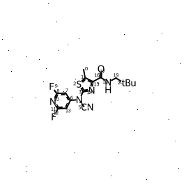 Cc1sc(N(C#N)c2cc(F)nc(F)c2)nc1C(=O)NCC(C)(C)C